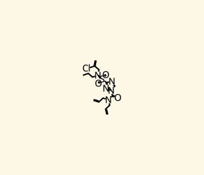 C=CCN(CC=C)C(=O)n1cnc(S(=O)(=O)N(CCC)CC(=C)Cl)n1